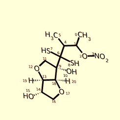 CC(O[N+](=O)[O-])C(C)C(S)(S)[C@]1(O)CO[C@@H]2[C@@H](O)CO[C@@H]21